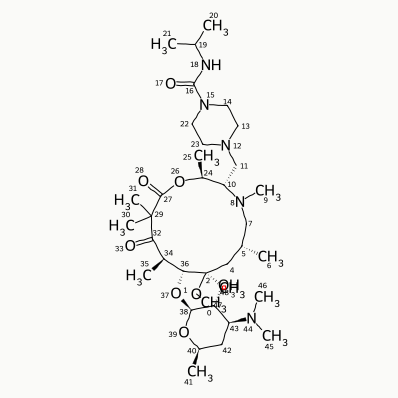 CO[C@]1(C)C[C@@H](C)CN(C)[C@@H](CN2CCN(C(=O)NC(C)C)CC2)[C@H](C)OC(=O)C(C)(C)C(=O)[C@H](C)[C@H]1O[C@@H]1O[C@H](C)C[C@H](N(C)C)[C@H]1O